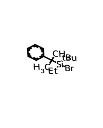 CC[Si](Br)(C(C)(C)C)C(C)(C)c1ccccc1